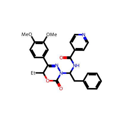 CCC1OC(=O)N(C(Cc2ccccc2)NC(=O)c2ccncc2)N=C1c1ccc(OC)c(OC)c1